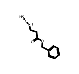 O=C(CCNSS)OCc1ccccc1